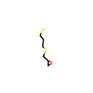 SCCCSCC1CO1